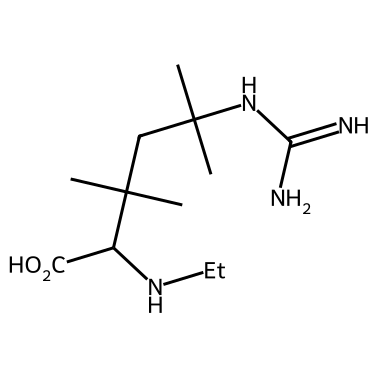 CCNC(C(=O)O)C(C)(C)CC(C)(C)NC(=N)N